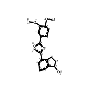 CCOc1ccc(-c2nc(-c3cccc4c3CCC4O)no2)cc1OCC